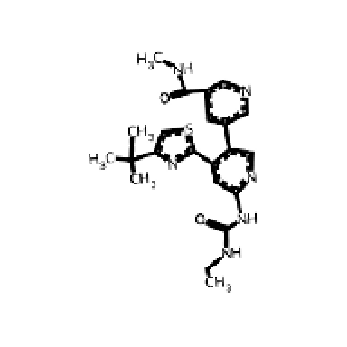 CCNC(=O)Nc1cc(-c2nc(C(C)(C)C)cs2)c(-c2cncc(C(=O)NC)c2)cn1